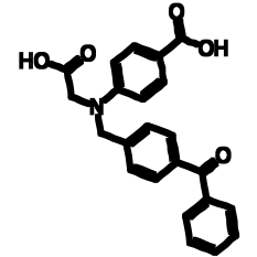 O=C(O)CN(Cc1ccc(C(=O)c2ccccc2)cc1)c1ccc(C(=O)O)cc1